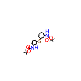 CC(C)(C)OC(=O)NC1=CCC=CC(Sc2cccc(NC(=O)OC(C)(C)C)c2)=C1